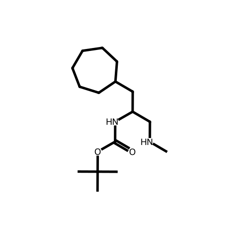 CNCC(CC1CCCCCC1)NC(=O)OC(C)(C)C